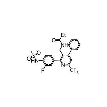 CCC(=O)NCc1c(-c2ccccc2)cc(C(F)(F)F)nc1-c1ccc(NS(C)(=O)=O)c(F)c1